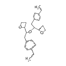 C=Cc1ccc(CC(OC(Cc2ccc(C=C)cc2)C2CCO2)C2CCO2)cc1